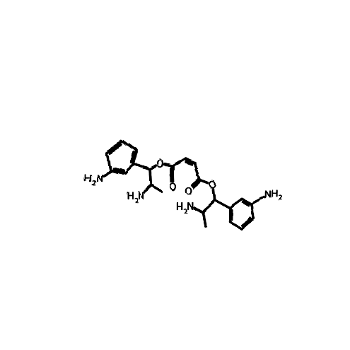 CC(N)C(OC(=O)/C=C\C(=O)OC(c1cccc(N)c1)C(C)N)c1cccc(N)c1